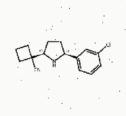 N#CC1([C@H]2CC[C@@H](c3cccc(Cl)c3)N2)CCC1